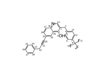 Oc1c(Cc2ccc(C(F)(F)F)cc2)cnc2ccc(C#CCc3ccccc3)cc12